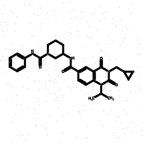 CC(C)n1c(=O)n(CC2CC2)c(=O)c2cc(C(=O)NC3CCCN(C(=O)Nc4ccccc4)C3)ccc21